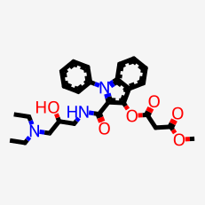 CCN(CC)CC(O)CNC(=O)c1c(OC(=O)CC(=O)OC)c2ccccc2n1-c1ccccc1